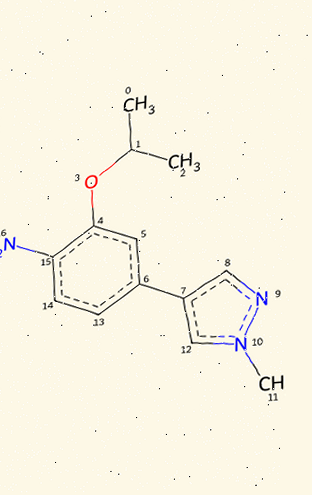 CC(C)Oc1cc(-c2cnn(C)c2)ccc1N